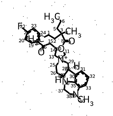 CCCC(C)(CCC)C(=O)OC[N+]1(CCCC(=O)c2ccc(F)cc2)CC[C@H]2[C@@H](C1)c1cccc3c1N2CCN3C